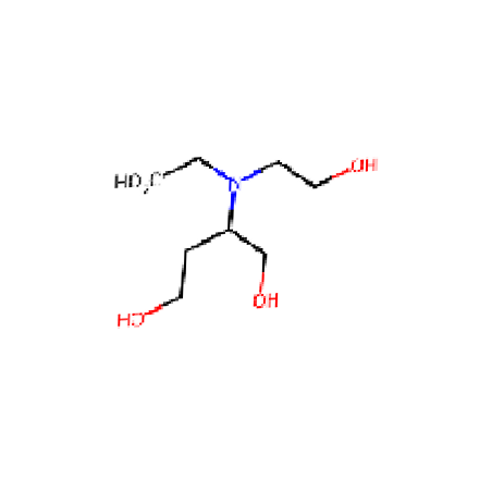 O=C(O)CN(CCO)C(CO)CCO